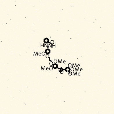 COc1cc(C2NC(=O)c3ccccc3N2)ccc1OCCCOc1c(OC)cc(-c2cc(-c3cc(OC)c(OC)c(OC)c3)on2)cc1OC